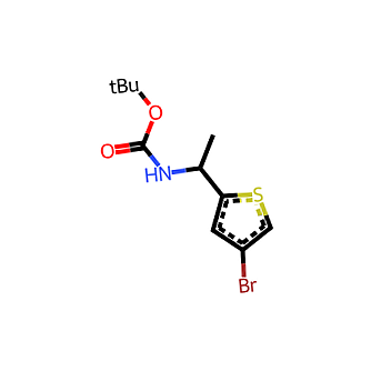 CC(NC(=O)OC(C)(C)C)c1cc(Br)cs1